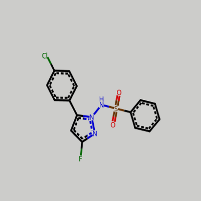 O=S(=O)(Nn1nc(F)cc1-c1ccc(Cl)cc1)c1ccccc1